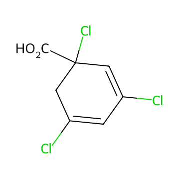 O=C(O)C1(Cl)C=C(Cl)C=C(Cl)C1